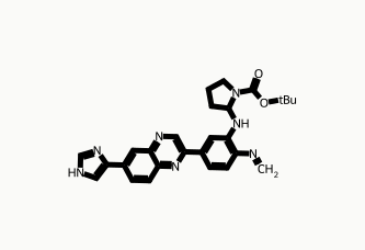 C=Nc1ccc(-c2cnc3cc(-c4c[nH]cn4)ccc3n2)cc1NC1CCCN1C(=O)OC(C)(C)C